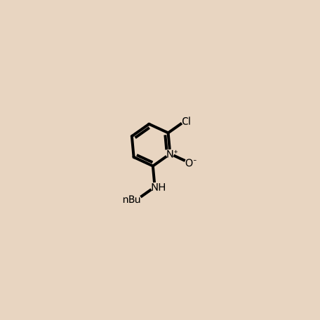 CCCCNc1cccc(Cl)[n+]1[O-]